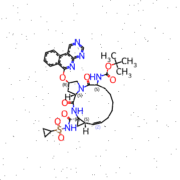 CC(C)(C)OC(=O)N[C@H]1CCCCC/C=C\[C@@H]2C[C@@]2(C(=O)NS(=O)(=O)C2CC2)NC(=O)[C@@H]2C[C@@H](Oc3nc4ncncc4c4ccccc34)CN2C1=O